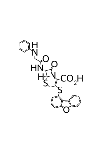 O=C(CNc1ccccc1)N[C@@H]1C(=O)N2C(C(=O)O)=C(Sc3cccc4oc5ccccc5c34)CS[C@H]12